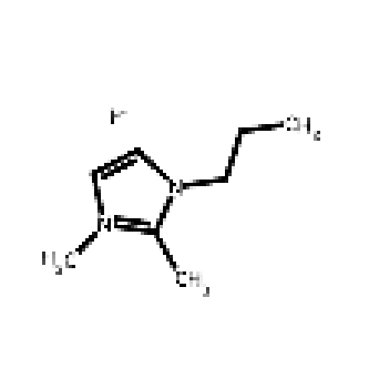 CCCn1cc[n+](C)c1C.[F-]